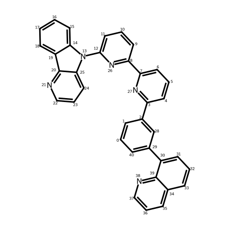 c1cc(-c2cccc(-c3cccc(-n4c5ccccc5c5ncccc54)n3)n2)cc(-c2cccc3cccnc23)c1